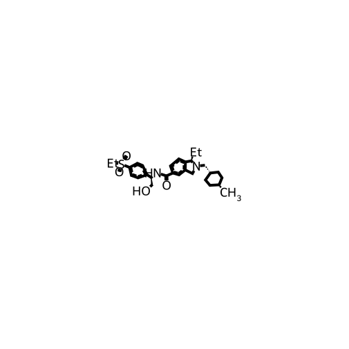 CC[C@@H]1c2ccc(C(=O)N[C@@H](CO)c3ccc(S(=O)(=O)CC)cc3)cc2CN1C[C@H]1CC[C@H](C)CC1